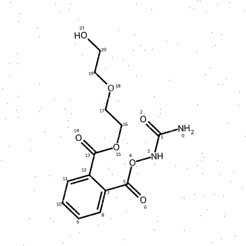 NC(=O)NOC(=O)c1ccccc1C(=O)OCCOCCO